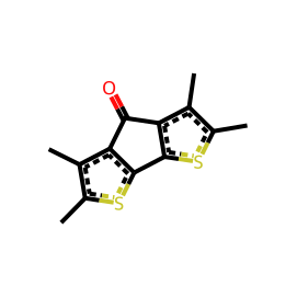 Cc1sc2c(c1C)C(=O)c1c-2sc(C)c1C